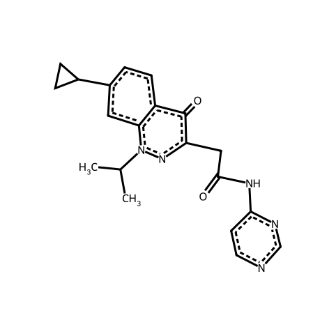 CC(C)n1nc(CC(=O)Nc2ccncn2)c(=O)c2ccc(C3CC3)cc21